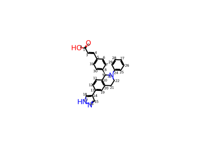 O=C(O)/C=C/c1ccc([C@@H]2c3ccc(-c4cn[nH]c4)cc3CCN2c2ccccc2)cc1